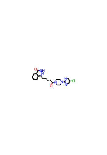 O=C(CCCCc1n[nH]c(=O)c2ccccc12)N1CCN(c2ncc(Cl)cn2)CC1